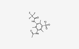 CC(=O)Nc1c(C)c(NC(=O)C(F)(F)F)c(C)c(S(=O)(=O)Cl)c1C